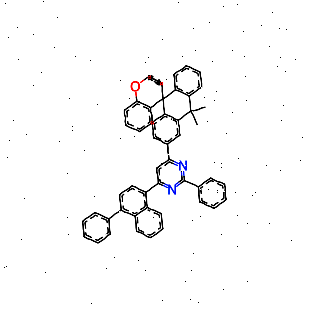 CC1(C)c2ccccc2C2(c3ccccc3Oc3ccccc32)c2ccc(-c3cc(-c4ccc(-c5ccccc5)c5ccccc45)nc(-c4ccccc4)n3)cc21